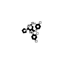 CC(C)(C)NCc1c(C(=O)N2CCCC2)nn(-c2ccc(Cl)cc2Cl)c1Oc1ccc(Cl)cc1